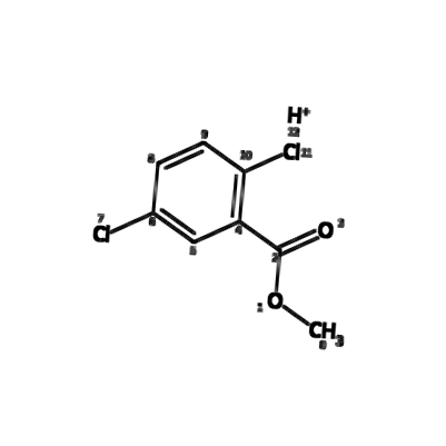 COC(=O)c1cc(Cl)ccc1Cl.[H+]